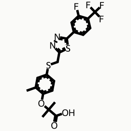 Cc1cc(SCc2nnc(-c3ccc(C(F)(F)F)c(F)c3)s2)ccc1OC(C)(C)C(=O)O